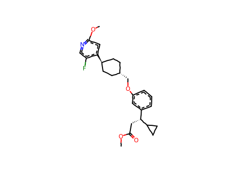 COC(=O)C[C@H](c1cccc(OC[C@H]2CC[C@H](c3cc(OC)ncc3F)CC2)c1)C1CC1